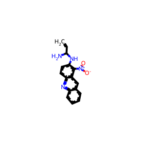 C=CC(N)Nc1ccc2nc3ccccc3cc2c1[N+](=O)[O-]